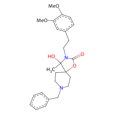 COc1ccc(CCN2C(=O)OC3(CCN(Cc4ccccc4)CC3)C2(C)O)cc1OC